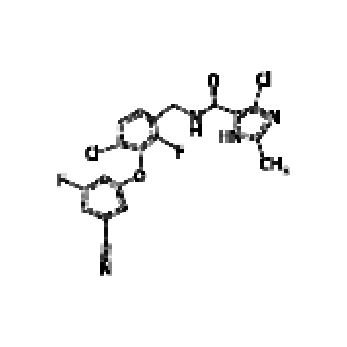 Cc1nc(Cl)c(C(=O)NCc2ccc(Cl)c(Oc3cc(F)cc(C#N)c3)c2F)[nH]1